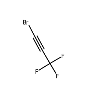 FC(F)(F)C#CBr